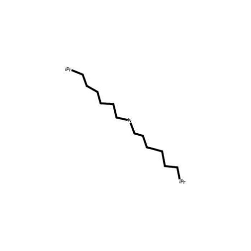 CC(C)CCCCCC[N]CCCCCCC(C)C